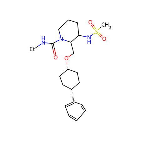 CCNC(=O)N1CCCC(NS(C)(=O)=O)C1CO[C@H]1CC[C@@H](c2ccccc2)CC1